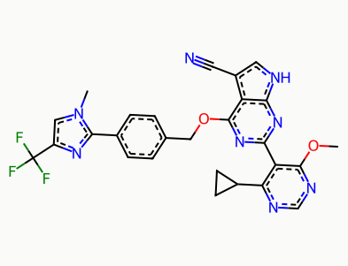 COc1ncnc(C2CC2)c1-c1nc(OCc2ccc(-c3nc(C(F)(F)F)cn3C)cc2)c2c(C#N)c[nH]c2n1